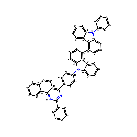 c1ccc(-c2nc(-c3ccc(-n4c5ccccc5c5c(-c6cccc7c6c6ccccc6n7-c6ccccc6)cccc54)cc3)c3ccc4ccccc4c3n2)cc1